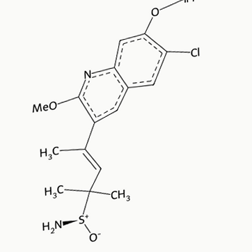 COc1nc2cc(OC(C)C)c(Cl)cc2cc1C(C)=CC(C)(C)[S@+](N)[O-]